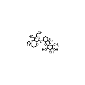 CC1O[C@@H](OC2[C@H](C)CCC[C@H]2O[C@@H]2OC(CO)[C@H](O)C3O[C@@]4(CCCOC32)CCO4)[C@@H](O)C(O)[C@@H]1O